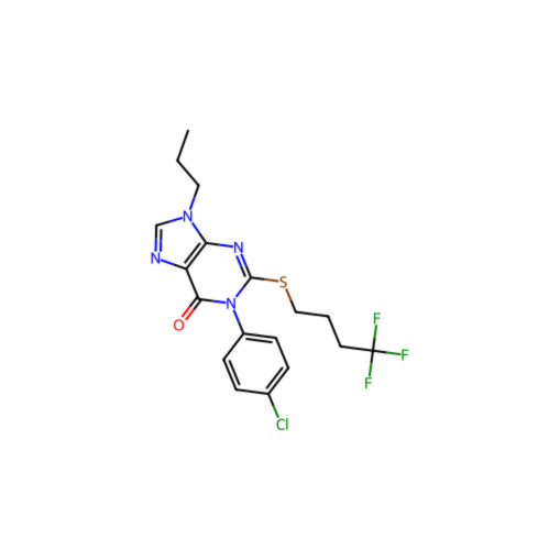 CCCn1cnc2c(=O)n(-c3ccc(Cl)cc3)c(SCCCC(F)(F)F)nc21